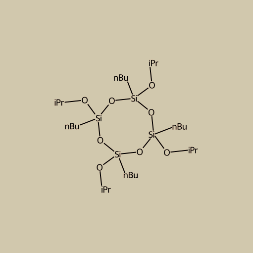 CCCC[Si]1(OC(C)C)O[Si](CCCC)(OC(C)C)O[Si](CCCC)(OC(C)C)O[Si](CCCC)(OC(C)C)O1